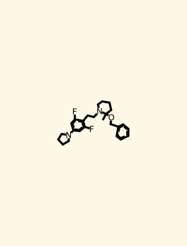 CC1(OCc2ccccc2)CCCCN1CCc1c(F)cc(N2CCCC2)cc1F